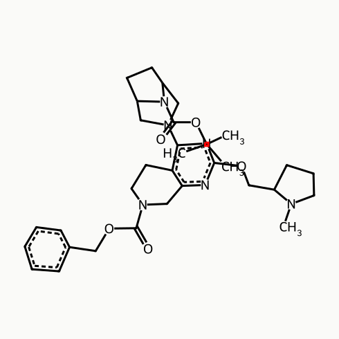 CN1CCCC1COc1nc2c(c(N3CC4CCC(C3)N4C(=O)OC(C)(C)C)n1)CCN(C(=O)OCc1ccccc1)C2